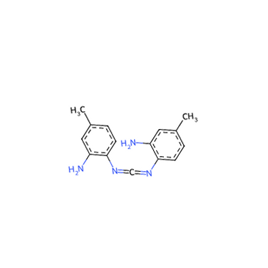 Cc1ccc(N=C=Nc2ccc(C)cc2N)c(N)c1